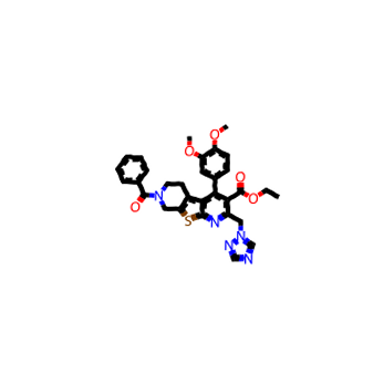 CCOC(=O)c1c(Cn2cncn2)nc2sc3c(c2c1-c1ccc(OC)c(OC)c1)CCN(C(=O)c1ccccc1)C3